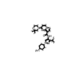 CC(C)[C@H]1CC[C@H](n2cc(NC(=O)c3cnn4ccc(N5CCOC(C)(C)C5)nc34)c(C(F)F)n2)CC1